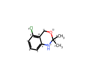 CC1(C)Nc2cccc(Cl)c2CO1